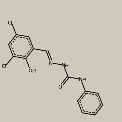 O=C(NN=Cc1cc(Cl)cc(Cl)c1O)Nc1ccccc1